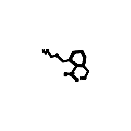 CCOCc1cccc(CO)c1[N+](=O)[O-]